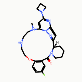 CN1CCNCCOc2ccc(F)cc2C(=O)N2CCCC[C@H]2c2cc3nc(N4CCC4)cc1n3n2